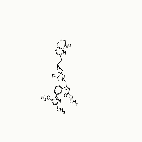 COC(=O)C[C@H](CN1CC(F)C2(C1)CN(CCc1ccc3c(n1)NCCC3)C2)c1cccc(-n2nc(C)cc2C)c1